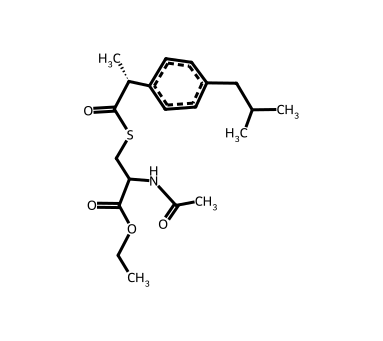 CCOC(=O)C(CSC(=O)[C@H](C)c1ccc(CC(C)C)cc1)NC(C)=O